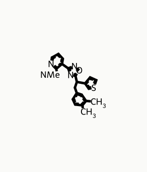 CNc1ncccc1-c1noc(C(Cc2ccc(C)c(C)c2)c2ccsc2)n1